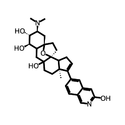 CN(C)[C@H]1C[C@@]23CC[C@]4(O2)C2CC=C(c5ccc6cnc(O)cc6c5)[C@@]2(C)CCC4(O)CC3[C@@H](O)[C@@H]1O